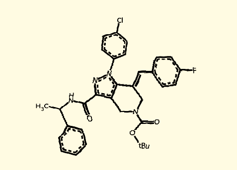 CC(NC(=O)c1nn(-c2ccc(Cl)cc2)c2c1CN(C(=O)OC(C)(C)C)C/C2=C\c1ccc(F)cc1)c1ccccc1